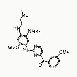 COc1cccc(C(=O)c2ccnc(Nc3cc(NC(C)=O)c(N(C)CCN(C)C)cc3OC)n2)c1